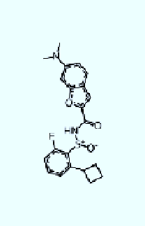 CN(C)c1ccc2cc(C(=O)N[S+]([O-])c3c(F)cccc3C3CCC3)oc2c1